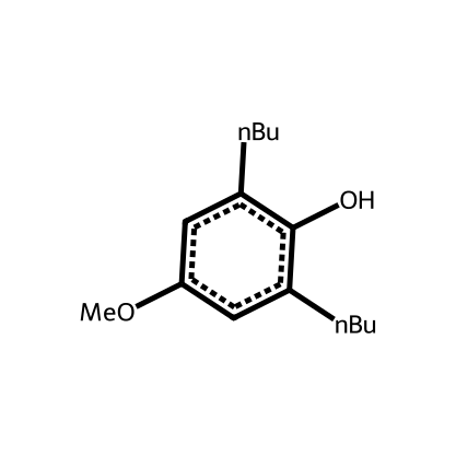 CCCCc1cc(OC)cc(CCCC)c1O